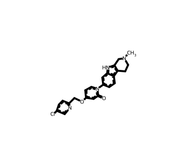 CN1CCc2c([nH]c3cc(-n4ccc(OCc5ccc(Cl)cn5)cc4=O)ccc23)C1